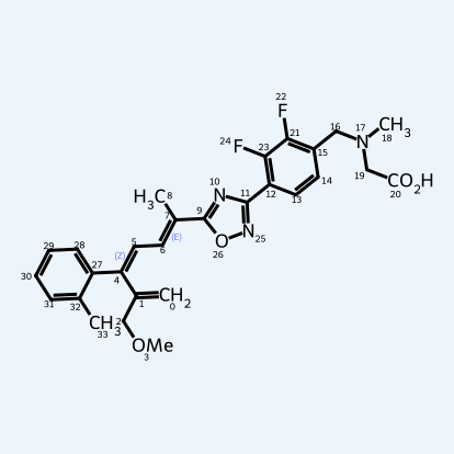 C=C(COC)/C(=C\C=C(/C)c1nc(-c2ccc(CN(C)CC(=O)O)c(F)c2F)no1)c1ccccc1C